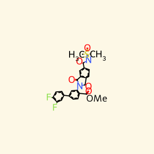 COC(=O)c1ccc(-c2ccc(F)c(F)c2)cc1N1C(=O)c2ccc(C(=O)N=S(C)(C)=O)cc2C1=O